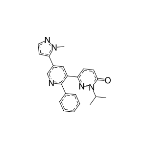 CC(C)n1nc(-c2cc(-c3ccnn3C)cnc2-c2ccccc2)ccc1=O